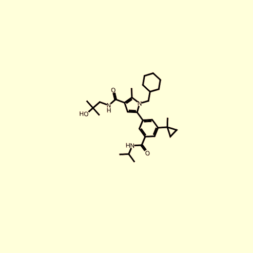 Cc1c(C(=O)NCC(C)(C)O)cc(-c2cc(C(=O)NC(C)C)cc(C3(C)CC3)c2)n1CC1CCCCC1